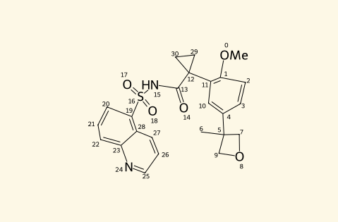 COc1ccc(C2(C)COC2)cc1C1(C(=O)NS(=O)(=O)c2cccc3ncccc23)CC1